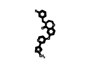 Cn1cc(-c2cc(Oc3ccc4c(c3)C(=O)N(Cc3cccc(F)c3)CCO4)ccn2)cn1